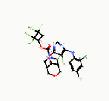 N#Cc1ccc(Nc2ncnc(OC3C4COCC3CN(C(=O)OC3CC(F)(F)C3(F)F)C4)c2F)c(Cl)c1